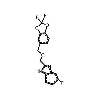 Fc1ccc2[nH]c(COCc3ccc4c(c3)OC(F)(F)O4)nc2c1